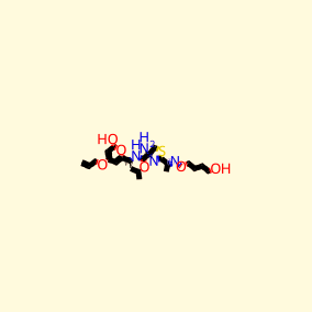 C=CCOC1=CC(O)OC([C@@H](CCC)NC(=O)[C@]2(N)CSC(/C(C)=N/OCCCCO)=N2)=C1